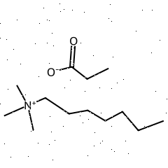 CCC(=O)[O-].CCCCCCC[N+](C)(C)C